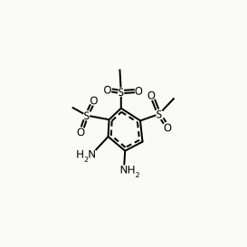 CS(=O)(=O)c1cc(N)c(N)c(S(C)(=O)=O)c1S(C)(=O)=O